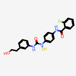 O=C(Nc1ccc(N(S)C(=O)Nc2cccc(CCO)c2)cc1)c1ccccc1F